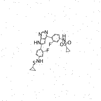 O=S(=O)(Nc1ccc(-c2ncnc3[nH]c(-c4ccc(NSC5CC5)cc4F)cc23)c(F)c1)C1CC1